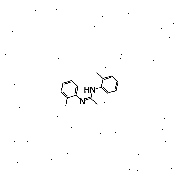 CC(=Nc1ccccc1C)Nc1ccccc1C